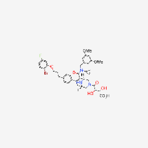 COc1cc(CN(C(=O)C2=C(c3ccc(CCCOc4cc(F)ccc4Br)cc3)C[C@H]3CN(C(=O)[C@H](O)[C@H](O)C(=O)O)C[C@H]2N3)C2CC2)cc(OC)c1